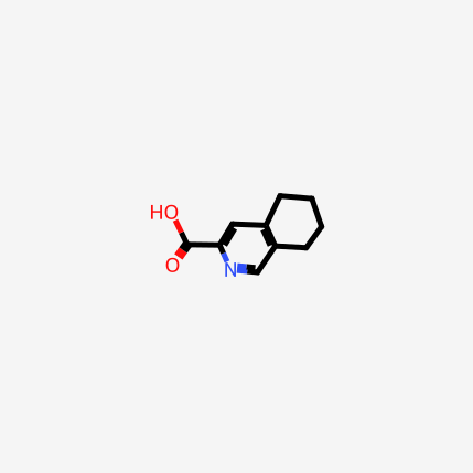 O=C(O)c1cc2c(cn1)CCCC2